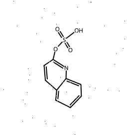 O=S(=O)(O)Oc1ccc2ccccc2n1